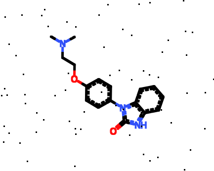 CN(C)CCOc1ccc(-n2c(=O)[nH]c3ccccc32)cc1